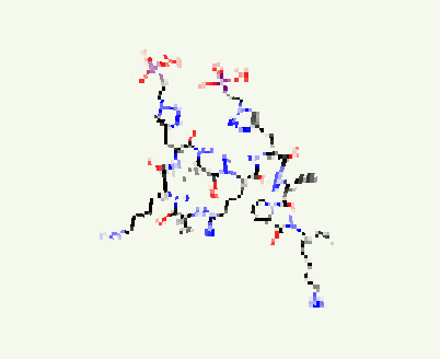 C[C@H](CCCCN)NC(=O)[C@@H]1CCCN1C(=O)[C@H](C)NC(=O)[C@H](Cc1cn(CCP(=O)(O)O)nn1)NC(=O)[C@H](CCCCN)NC(=O)[C@H](C)NC(=O)[C@H](Cc1cn(CCP(=O)(O)O)nn1)NC(=O)[C@H](CCCCN)NC(=O)[C@H](C)N